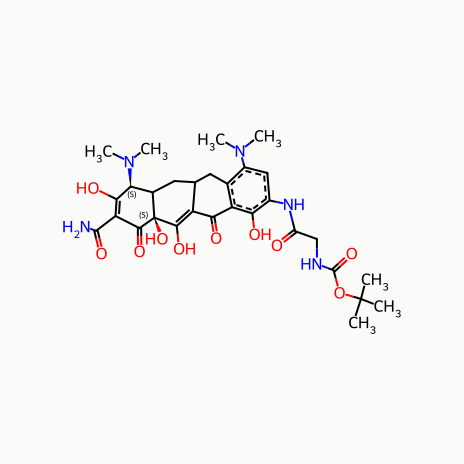 CN(C)c1cc(NC(=O)CNC(=O)OC(C)(C)C)c(O)c2c1CC1CC3[C@H](N(C)C)C(O)=C(C(N)=O)C(=O)[C@@]3(O)C(O)=C1C2=O